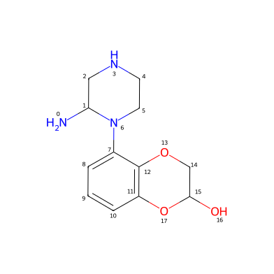 NC1CNCCN1c1cccc2c1OCC(O)O2